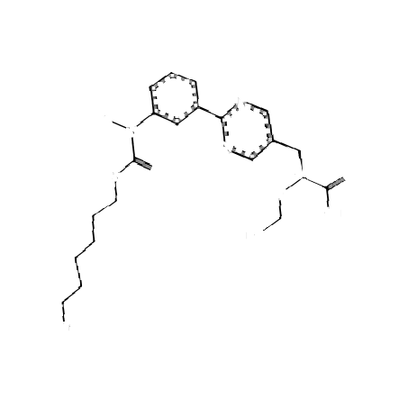 CCCCCCCNC(=O)N(C)c1cccc(-c2ncc(C[C@H](OCC)C(=O)O)cn2)c1